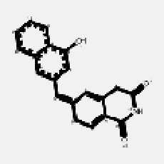 O=C1CC2=CC(=Cc3cc(O)c4ccccc4c3)CC=C2C(=O)N1